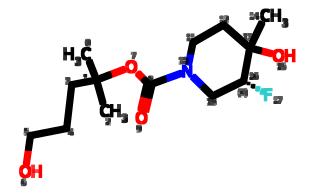 CC(C)(CCCO)OC(=O)N1CCC(C)(O)[C@H](F)C1